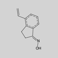 C=Cc1cccc2c1CCC2=NO